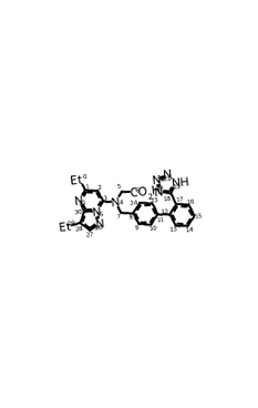 CCc1cc(N(CC(=O)O)Cc2ccc(-c3ccccc3-c3nnn[nH]3)cc2)n2ncc(CC)c2n1